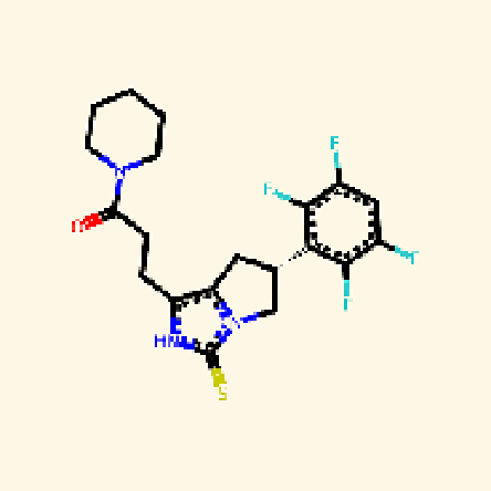 O=C(CCc1[nH]c(=S)n2c1C[C@H](c1c(F)c(F)cc(F)c1F)C2)N1CCCCC1